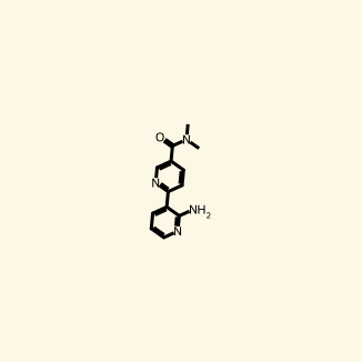 CN(C)C(=O)c1ccc(-c2cccnc2N)nc1